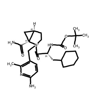 Cc1nc(N)ccc1C[N+]1(C(=O)[C@@H](CC2CCCCC2)NC(=O)OC(C)(C)C)CC[C@@H]2C[C@@]21C(N)=O